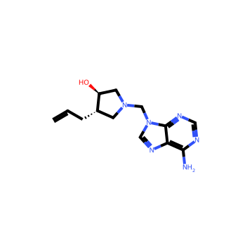 C=CC[C@H]1CN(Cn2cnc3c(N)ncnc32)C[C@@H]1O